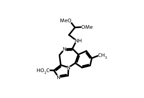 COC(CNC1=NCc2c(C(=O)O)ncn2-c2ccc(C)cc21)OC